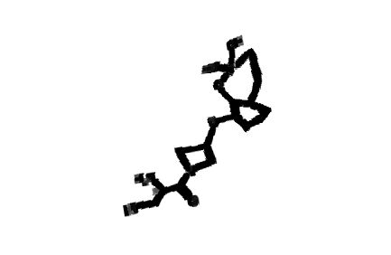 N[C@H](CS)C(=O)N1CC(Oc2cccc3c2O[B-](O)(O)CC3)C1